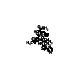 CC(C)(C)[C@H](Nc1nc(-c2cnccn2)cs1)C(=O)N1C[C@@]2(C[C@H]1C(=O)NC(CC1CCC1)C(O)C(N)=O)CC2(C)C